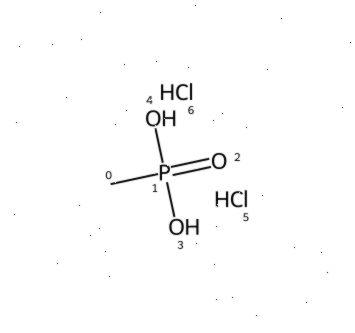 CP(=O)(O)O.Cl.Cl